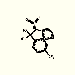 CC(C)(C)C(O)(C(n1cncn1)=S(=O)=O)c1ccc(C(F)(F)F)cc1